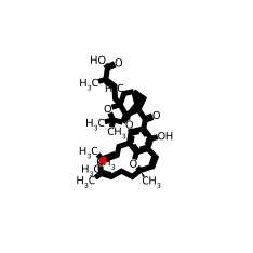 C=C1C2C=C3C(=O)c4c(O)c5c(c(CC=C(C)C)c4OC34C(C2)C(C)(C)OC14C/C=C(\C)C(=O)O)O[C@](C)(CCC=C(C)C)C=C5